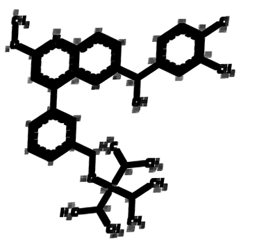 COc1cc(-c2cccc(CO[Si](C(C)C)(C(C)C)C(C)C)c2)c2cc(C(O)c3ccc(Cl)c(C)c3)ccc2n1